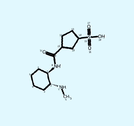 CN[C@@H]1CCCC[C@H]1NC(=O)C1CCC(S(=O)(=O)O)C1